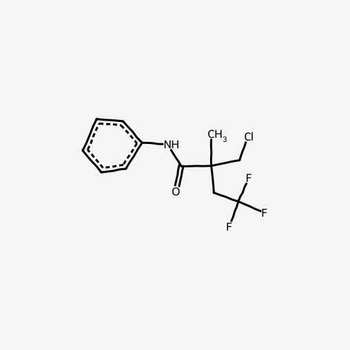 CC(CCl)(CC(F)(F)F)C(=O)Nc1ccccc1